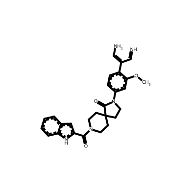 COc1cc(N2CCC3(CCN(C(=O)c4cc5ccccc5[nH]4)CC3)C2=O)ccc1/C(C=N)=C/N